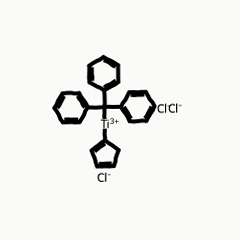 C1=CC[C]([Ti+3][C](c2ccccc2)(c2ccccc2)c2ccccc2)=C1.[Cl-].[Cl-].[Cl-]